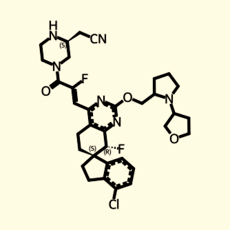 N#CC[C@H]1CN(C(=O)C(F)=Cc2nc(OCC3CCCN3C3CCOC3)nc3c2CC[C@@]2(CCc4c(Cl)cccc42)[C@H]3F)CCN1